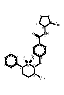 C[C@H]1CCC(c2ccccc2)S(=O)(=O)N1Cc1ccc(C(=O)NC2CCCC2O)cc1